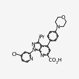 CC(C)c1nn(-c2cc(Cl)ccn2)c2nc(C(=O)O)cc(-c3ccc(N4CCOCC4)cc3)c12